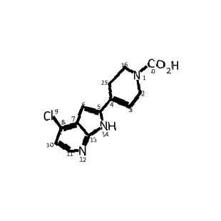 O=C(O)N1CC=C(c2cc3c(Cl)ccnc3[nH]2)CC1